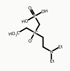 CCN(CC)CC[N+]([O-])(CC(=O)O)CP(=O)(O)O